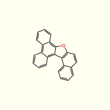 c1ccc2c(c1)ccc1oc3c4ccccc4c4ccccc4c3c12